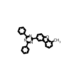 Cc1cccc2c1oc1ccc(-c3nc(-c4ccccc4)nc(-c4ccccc4)n3)cc12